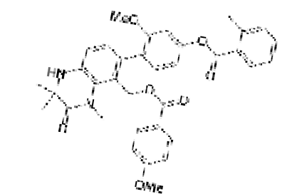 COc1ccc(C(=O)OCc2c(-c3ccc(OC(=O)c4ccccc4C)cc3OC)ccc3c2N(C)C(=O)C(C)(C)N3)cc1